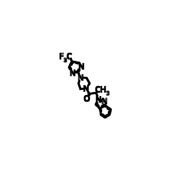 CC(C(=O)N1CCN(c2ncc(C(F)(F)F)cn2)CC1)n1cc2ccccc2n1